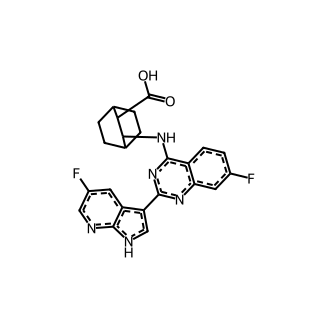 O=C(O)C1C2CCC(CC2)C1Nc1nc(-c2c[nH]c3ncc(F)cc23)nc2cc(F)ccc12